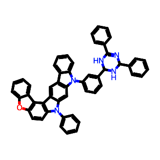 c1ccc(C2=NC(c3ccccc3)NC(c3cccc(-n4c5ccccc5c5cc6c7c8c(ccc7n(-c7ccccc7)c6cc54)oc4ccccc48)c3)N2)cc1